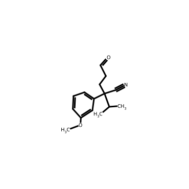 COc1cccc(C(C#N)(CCC=O)C(C)C)c1